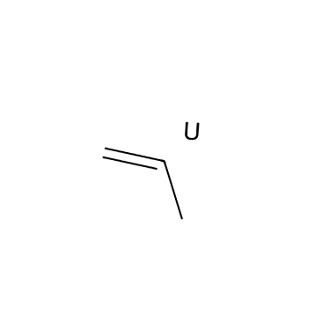 C=CC.[U]